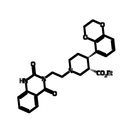 CCOC(=O)[C@@H]1CN(CCn2c(=O)[nH]c3ccccc3c2=O)CC[C@@H]1c1cccc2c1OCCO2